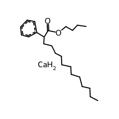 CCCCCCCCCCCCC(C(=O)OCCCC)c1ccccc1.[CaH2]